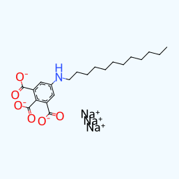 CCCCCCCCCCCCNc1cc(C(=O)[O-])c(C(=O)[O-])c(C(=O)[O-])c1.[Na+].[Na+].[Na+]